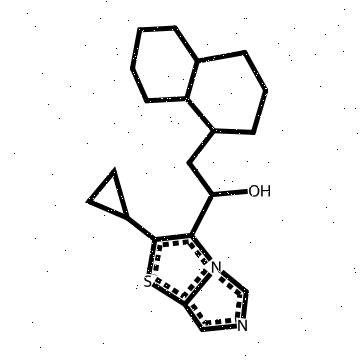 OC(CC1CCCC2CCCCC21)c1c(C2CC2)sc2cncn12